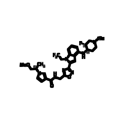 COC[C@@H](C)n1ccc(C(=O)NCc2nc(-c3cc4c(N[C@@H]5CCN(C(C)(C)C)C[C@H]5F)cccc4n3CC(F)(F)F)no2)c1